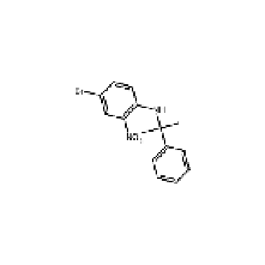 CC(C)(Nc1ccc(Br)cc1[N+](=O)[O-])c1ccccc1